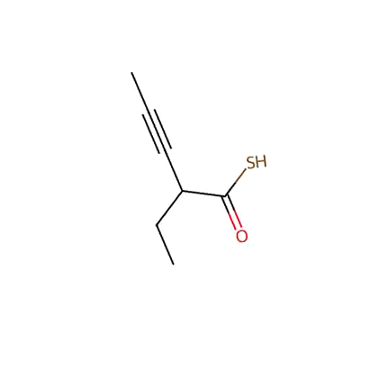 CC#CC(CC)C(=O)S